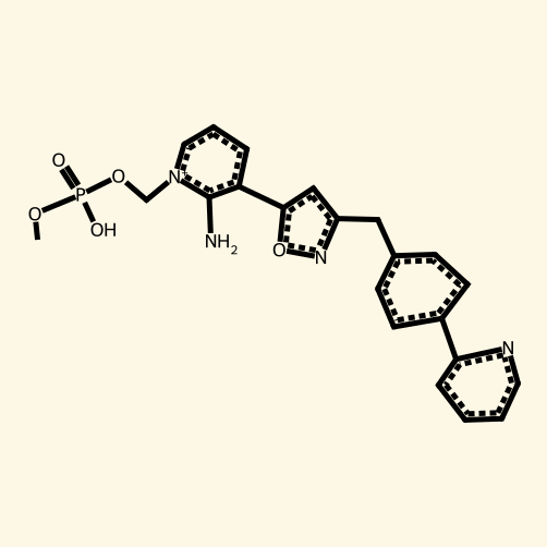 COP(=O)(O)OC[n+]1cccc(-c2cc(Cc3ccc(-c4ccccn4)cc3)no2)c1N